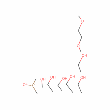 CCO.CCO.CCO.CCO.CCO.CO.COCCOC.C[S+](C)[O-]